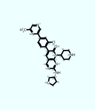 Cc1cncc(-c2ccc(-c3cc4cnc(N[C@@H]5CCOC5)nc4n(C4CCNCC4)c3=O)c(Cl)c2)n1